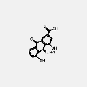 Cl.O=C(O)c1cc(O)c2c(c1)C(=O)c1cccc(O)c1C2=O